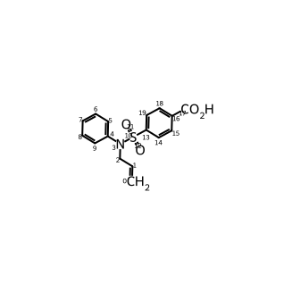 C=CCN(c1ccccc1)S(=O)(=O)c1ccc(C(=O)O)cc1